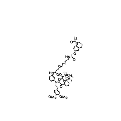 CCC(=O)N1CCCc2cc(OCC(=O)NCCOCCOCCC(=O)Nc3cccc([C@@H](CCc4ccc(OC)c(OC)c4)OC(=O)[C@@H]4CCCCN4C(=O)C(=O)C(C)(C)CC)c3)ccc21